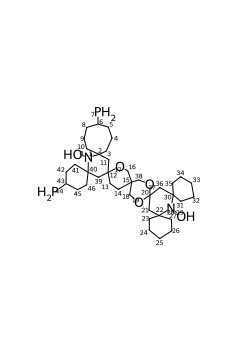 ON1C2(CCCC(P)CCC2)CC2(CCC3(CO2)COC2(CC4(CCCCC4)N(O)C4(CCCCC4)C2)OC3)CC12CCC(P)CC2